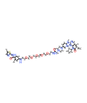 CC(=O)c1c(C)c2cnc(N(C)c3ccc(N4CCN(CC(=O)NCCOCCOCCOCCOCCOCCNc5ccc(C(=O)Nc6ncc(C)s6)c(C)c5)CC4)cn3)nc2n(C2CCCC2)c1=O